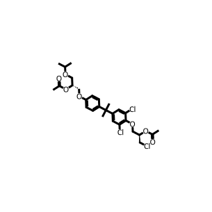 CC(=O)O[C@@H](CCl)COc1c(Cl)cc(C(C)(C)c2ccc(OC[C@@H](COC(C)C)OC(C)=O)cc2)cc1Cl